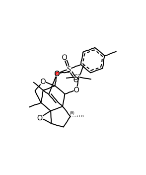 COC12OCC3(C)C1(C)C(OS(=O)(=O)c1ccc(C)cc1)=CC1(C2O[Si](C)(C)C)[C@H](C)CC2OC213